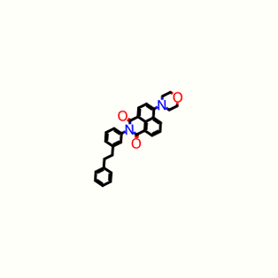 O=C1c2cccc3c(N4CCOCC4)ccc(c23)C(=O)N1c1cccc(CCc2ccccc2)c1